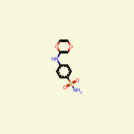 NS(=O)(=O)c1ccc(NC2=COC=CO2)cc1